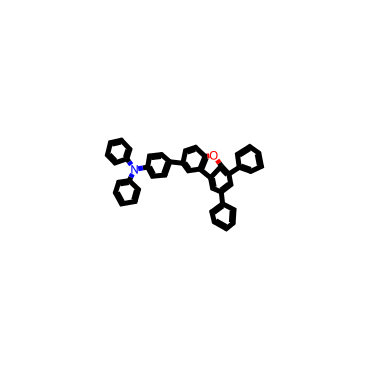 c1ccc(-c2cc(-c3ccccc3)c3oc4ccc(-c5ccc(N(c6ccccc6)c6ccccc6)cc5)cc4c3c2)cc1